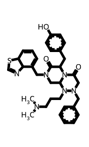 CN(C)CCCN1C2CN(CC3=CC=CC4SC=NC34)C(=O)C(Cc3ccc(O)cc3)N2C(=O)CN1Cc1ccccc1